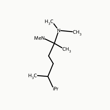 CNC(C)(CCC(C)C(C)C)N(C)C